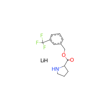 O=C(OCc1cccc(C(F)(F)F)c1)C1CCCN1.[LiH]